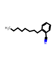 CCCCCCCCc1[c]cccc1C#N